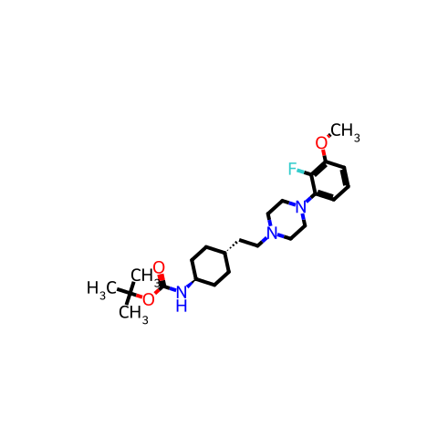 COc1cccc(N2CCN(CC[C@H]3CC[C@H](NC(=O)OC(C)(C)C)CC3)CC2)c1F